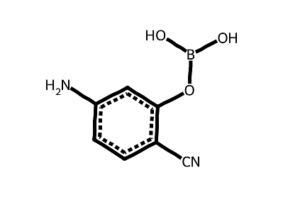 N#Cc1ccc(N)cc1OB(O)O